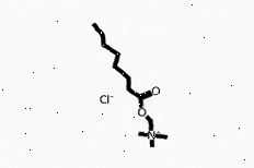 CCCCCCCC(=O)OC[N+](C)(C)C.[Cl-]